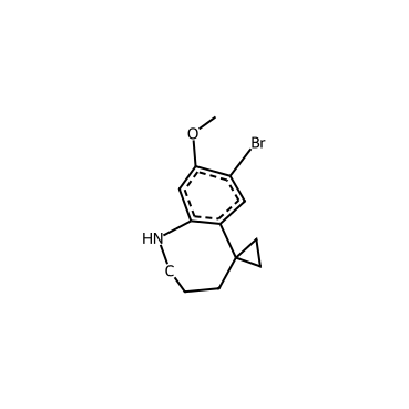 COc1cc2c(cc1Br)C1(CCCN2)CC1